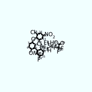 CC[SiH](CC)CC.COc1ccc(Oc2c(Cl)cc([N+](=O)[O-])cc2Cl)cc1-c1cc(F)ccc1C(C)=O.O=C(O)C(F)(F)F